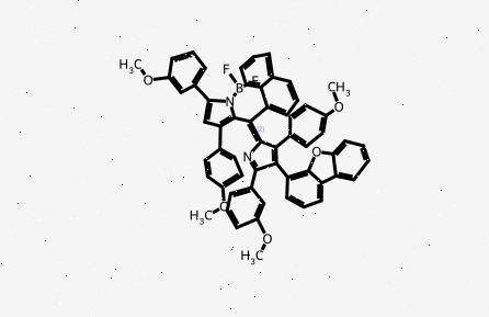 COc1ccc(C2=C(c3cccc4c3oc3ccccc34)C(c3cccc(OC)c3)=N/C2=C(/c2cccc3ccccc23)c2c(-c3ccc(OC)cc3)cc(-c3cccc(OC)c3)n2B(F)F)cc1